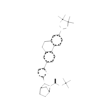 CC(C)(C)OC(=O)N1C2CCC(C2)[C@H]1c1ncc(-c2ccc3c(c2)CCc2cc(B4OC(C)(C)C(C)(C)O4)ccc2-3)[nH]1